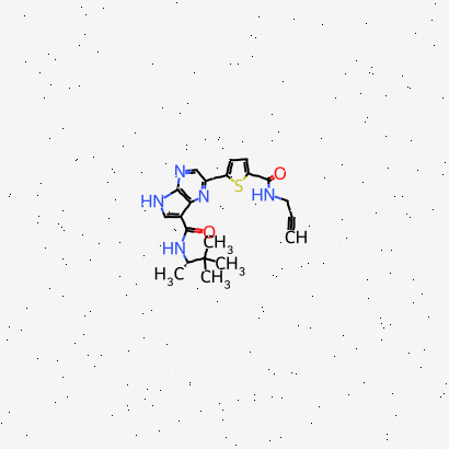 C#CCNC(=O)c1ccc(-c2cnc3[nH]cc(C(=O)N[C@@H](C)C(C)(C)C)c3n2)s1